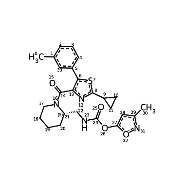 Cc1cccc(-c2sc(C3CC3)nc2C(=O)N2CCCC[C@H]2CNC(=O)Oc2cc(C)no2)c1